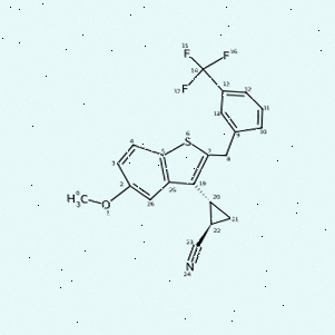 COc1ccc2sc(Cc3cccc(C(F)(F)F)c3)c([C@@H]3C[C@H]3C#N)c2c1